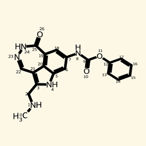 CNCc1[nH]c2cc(NC(=O)Oc3ccccc3)cc3c2c1C=NNC3=O